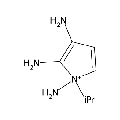 CC(C)[N+]1(N)C=CC(N)=C1N